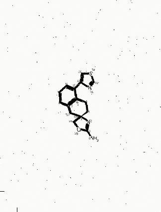 NC1=N[C@]2(CCc3c(cccc3-c3cscn3)C2)CO1